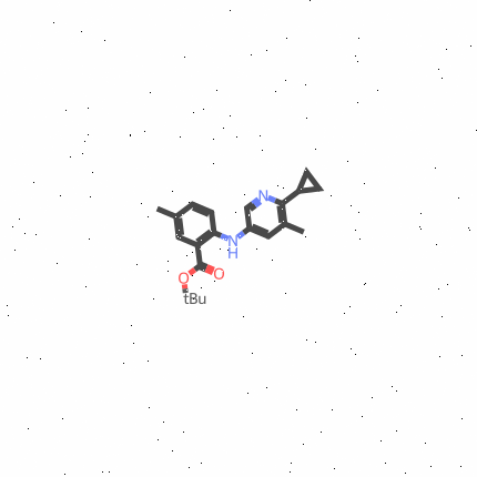 Cc1ccc(Nc2cnc(C3CC3)c(C)c2)c(C(=O)OC(C)(C)C)c1